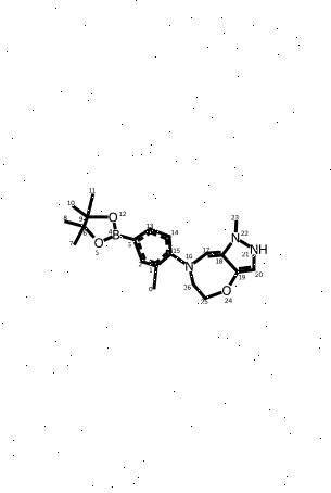 Cc1cc(B2OC(C)(C)C(C)(C)O2)ccc1N1C=C2C(=CNN2C)OCC1